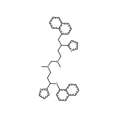 CN(CCC(Cc1cccc2ccccc12)c1cccs1)CN(C)CCC(Oc1cccc2ccccc12)c1cccs1